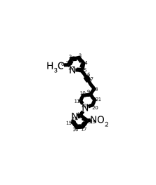 Cc1cccc(C#CCC2CCN(c3ncccc3[N+](=O)[O-])CC2)n1